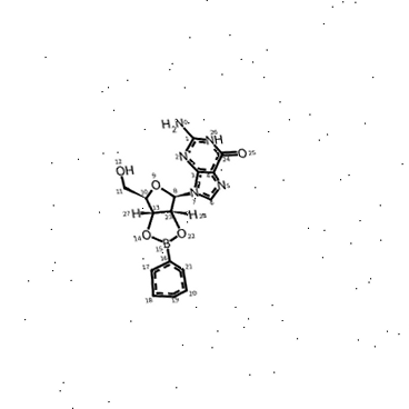 Nc1nc2c(ncn2[C@@H]2O[C@H](CO)[C@H]3OB(c4ccccc4)O[C@H]32)c(=O)[nH]1